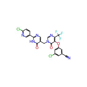 N#Cc1cc(Cl)cc(Oc2c(C(F)(F)F)ncn(Cc3cnc(-c4ccc(Cl)nc4)[nH]c3=O)c2=O)c1